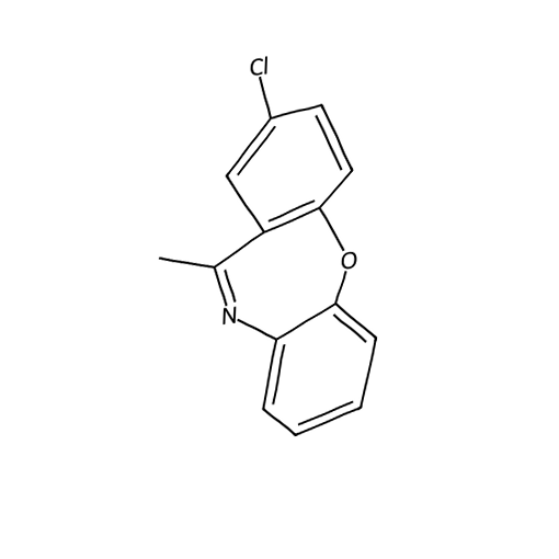 CC1=Nc2ccccc2Oc2ccc(Cl)cc21